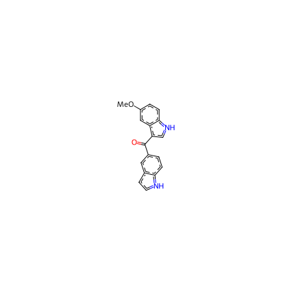 COc1ccc2[nH]cc(C(=O)c3ccc4[nH]ccc4c3)c2c1